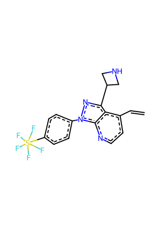 C=Cc1ccnc2c1c(C1CNC1)nn2-c1ccc(S(F)(F)(F)(F)F)cc1